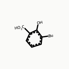 CCC(C)c1cccc(C(=O)O)c1O